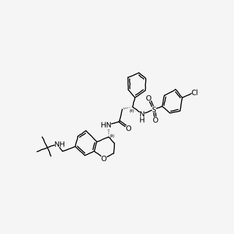 CC(C)(C)NCc1ccc2c(c1)OCC[C@H]2NC(=O)C[C@@H](NS(=O)(=O)c1ccc(Cl)cc1)c1ccccc1